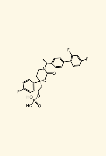 C[C@@H](c1ccc(-c2ccc(F)cc2F)cc1)N1CC[C@](CCOP(=O)(O)O)(c2ccc(F)cc2)OC1=O